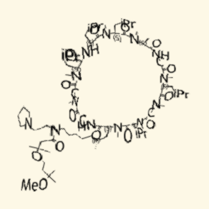 COC(C)(C)CCOC(C)(C)CC(=O)N(CCCCC[C@@H](C)C[C@H]1C(=O)NCC(=O)N(C)CC(=O)N(C)[C@@H](CC(C)C)C(=O)N[C@@H](CC(C)C)C(=O)N(C)[C@@H](CC(C)C)C(=O)N(C)[C@@H](C)C(=O)NCC(=O)N(C)[C@@H](CC(C)C)C(=O)N(C)CC(=O)N(C)[C@@H](C(C)C)C(=O)N1C)CCN1CCCC1